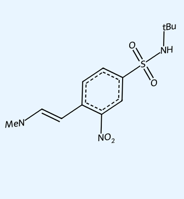 CN/C=C/c1ccc(S(=O)(=O)NC(C)(C)C)cc1[N+](=O)[O-]